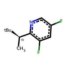 C[C@H](c1ncc(F)cc1F)C(C)(C)C